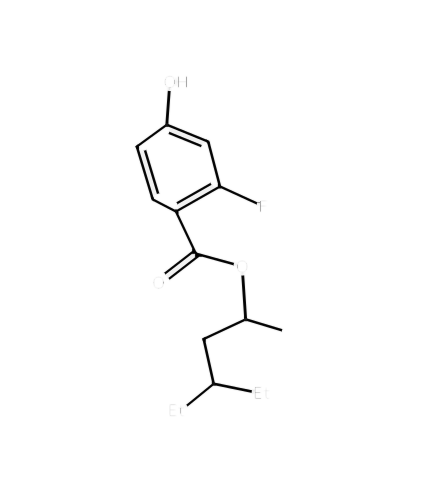 CCC(CC)CC(C)OC(=O)c1ccc(O)cc1F